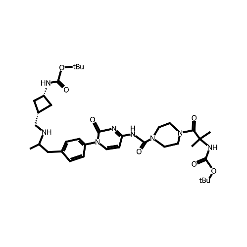 CC(Cc1ccc(-n2ccc(NC(=O)N3CCN(C(=O)C(C)(C)NC(=O)OC(C)(C)C)CC3)nc2=O)cc1)NC[C@H]1C[C@@H](NC(=O)OC(C)(C)C)C1